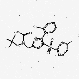 Cc1cccc(S(=O)(=O)c2cc(CN(CC(C)(C)C)C(=O)O)nn2-c2ccccc2Cl)n1